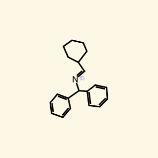 C(=N\C(c1ccccc1)c1ccccc1)/C1CCCCC1